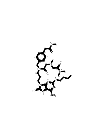 CCCCOc1nc(N)c2[nH]c(=O)n(CCCN(Cc3ccc(CC(=O)OC)cc3)C(=O)CN(C)CC(=O)N(C)C)c2n1